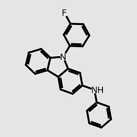 Fc1cccc(-n2c3ccccc3c3ccc(Nc4ccccc4)cc32)c1